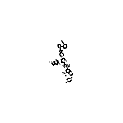 CN1CCN(C[C@H]2COc3cc(S(=O)(=O)NC(=O)c4ncc(N5CCC6(CC5)CC(N5CCCC5c5ccccc5C#N)C6)cc4Oc4cnc5[nH]ccc5c4)cc([N+](=O)[O-])c3N2)CC1